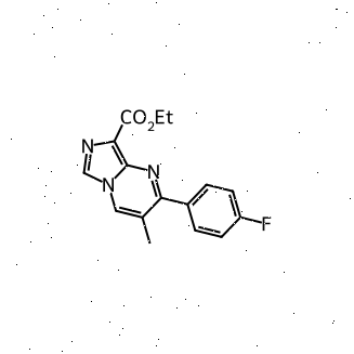 CCOC(=O)c1ncn2cc(C)c(-c3ccc(F)cc3)nc12